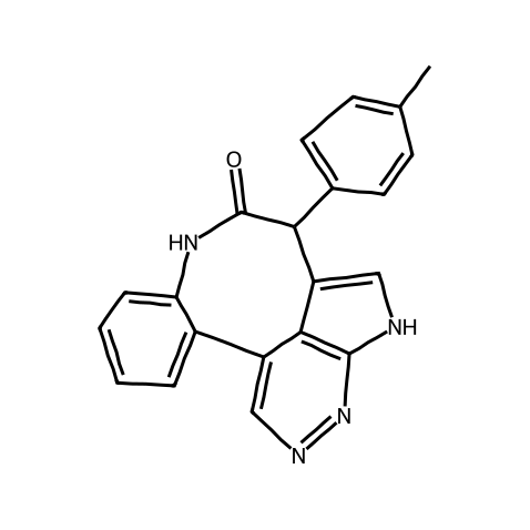 Cc1ccc(C2C(=O)Nc3ccccc3-c3cnnc4[nH]cc2c34)cc1